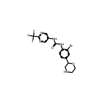 O=C(Nc1cnc(C(F)(F)F)nc1)Nc1ccc(C2CNCCO2)cc1Br